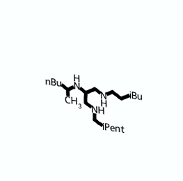 CCCCC(C)NC(CNCCC(C)CC)CNCC(C)CCC